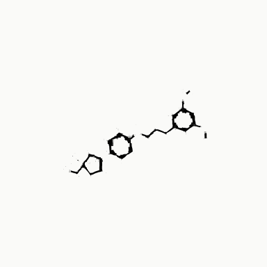 COc1cc(CCCOc2ccc([C@@H]3CC[C@](N)(CO)C3)cc2)cc(OC)c1